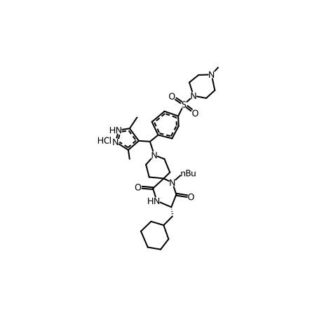 CCCCN1C(=O)[C@H](CC2CCCCC2)NC(=O)C12CCN(C(c1ccc(S(=O)(=O)N3CCN(C)CC3)cc1)c1c(C)n[nH]c1C)CC2.Cl